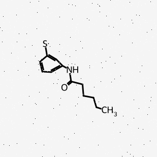 CCCCCC(=O)Nc1cccc([S])c1